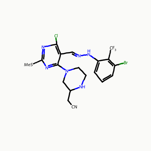 CSc1nc(Cl)c(/C=N/Nc2cccc(Br)c2C(F)(F)F)c(N2CCNC(CC#N)C2)n1